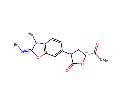 CC/N=c1/oc2cc(N3C[C@H](C(=O)NC)OC3=O)ccc2n1C(C)(C)C